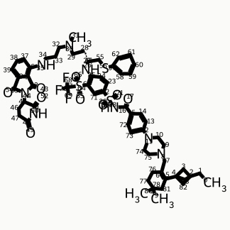 CCC12CC(C3=C(CN4CCN(c5ccc(C(=O)NS(=O)(=O)c6ccc(N[C@H](CCN(C)CCCNc7cccc8c7C(=O)N(C7CCC(=O)NC7=O)C8=O)CSc7ccccc7)c(S(=O)(=O)C(F)(F)F)c6)cc5)CC4)CCC(C)(C)C3)(C1)C2